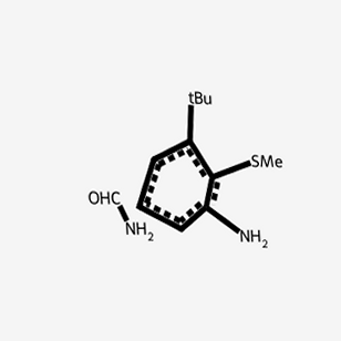 CSc1c(N)cccc1C(C)(C)C.NC=O